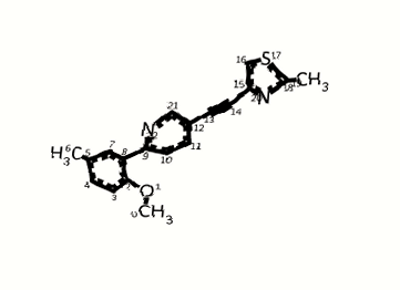 COc1ccc(C)cc1-c1ccc(C#Cc2csc(C)n2)cn1